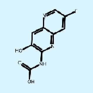 O=C(O)Nc1nc2cc(F)cnc2cc1O